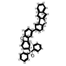 O=P(c1ccccc1)(c1ccccc1)c1ccc2oc3ccc(-c4ccc5sc6cc7ccccc7cc6c5c4)cc3c2c1